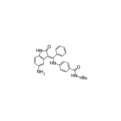 CCCCNC(=O)c1ccc(NC(=C2C(=O)Nc3ccc(N)cc32)c2ccccc2)cc1